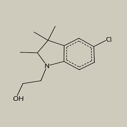 CC1N(CCO)c2ccc(Cl)cc2C1(C)C